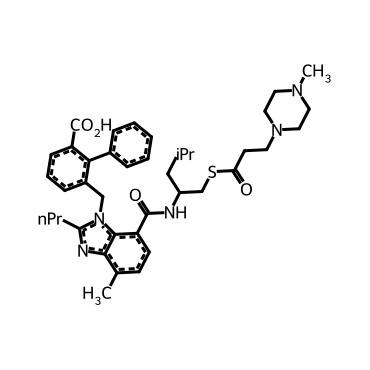 CCCc1nc2c(C)ccc(C(=O)NC(CSC(=O)CCN3CCN(C)CC3)CC(C)C)c2n1Cc1cccc(C(=O)O)c1-c1ccccc1